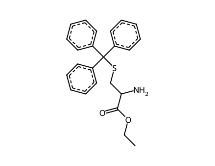 CCOC(=O)C(N)CSC(c1ccccc1)(c1ccccc1)c1ccccc1